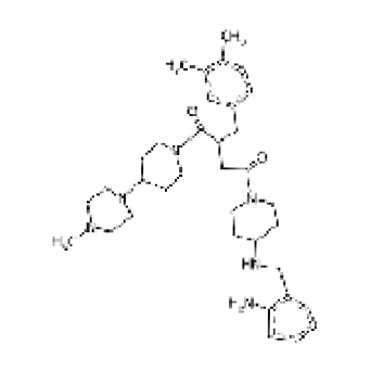 Cc1ccc(CC(CC(=O)N2CCC(NCc3ccccc3N)CC2)C(=O)N2CCC(N3CCN(C)CC3)CC2)cc1C